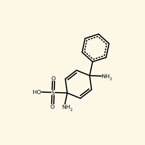 NC1(c2ccccc2)C=CC(N)(S(=O)(=O)O)C=C1